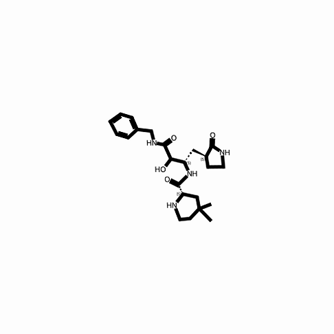 CC1(C)CCN[C@H](C(=O)N[C@@H](C[C@@H]2CCNC2=O)C(O)C(=O)NCc2ccccc2)C1